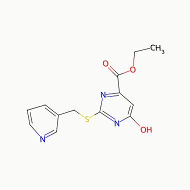 CCOC(=O)c1cc(O)nc(SCc2cccnc2)n1